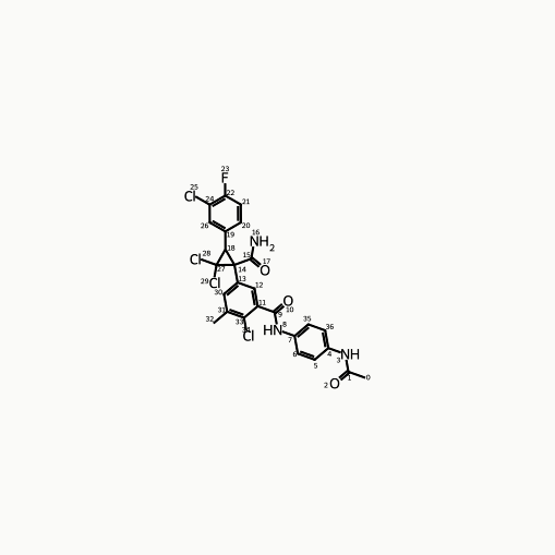 CC(=O)Nc1ccc(NC(=O)c2cc(C3(C(N)=O)C(c4ccc(F)c(Cl)c4)C3(Cl)Cl)cc(C)c2Cl)cc1